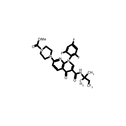 COC(=O)N1CCN(c2ccc3c(=O)c(C(=O)NC(C)(C)CC(F)(F)F)cn(-c4c(F)cc(F)cc4F)c3n2)CC1